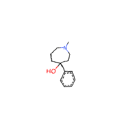 CN1CCCC(O)(c2ccccc2)CC1